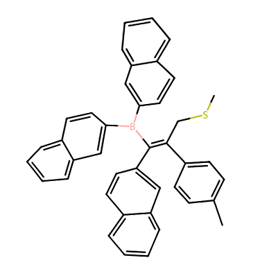 CSC/C(=C(\B(c1ccc2ccccc2c1)c1ccc2ccccc2c1)c1ccc2ccccc2c1)c1ccc(C)cc1